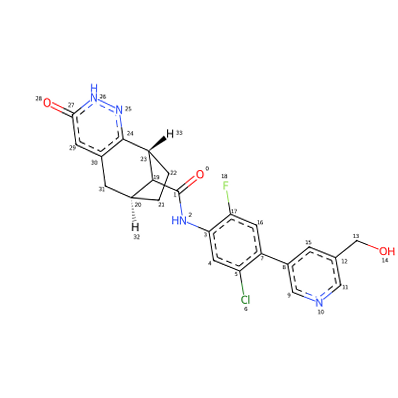 O=C(Nc1cc(Cl)c(-c2cncc(CO)c2)cc1F)C1[C@H]2CC[C@H]1c1n[nH]c(=O)cc1C2